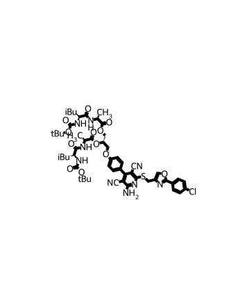 CC[C@H](C)[C@H](NC(=O)OC(C)(C)C)C(=O)N[C@@H](C)C(=O)OC[C@H](COc1ccc(-c2c(C#N)c(N)nc(SCc3coc(-c4ccc(Cl)cc4)n3)c2C#N)cc1)OC(=O)[C@H](C)NC(=O)[C@@H](NC(=O)OC(C)(C)C)[C@@H](C)CC